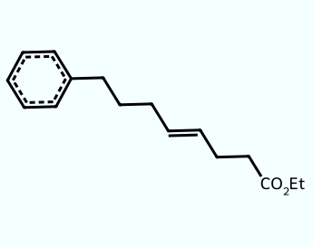 CCOC(=O)CCC=CCCCc1ccccc1